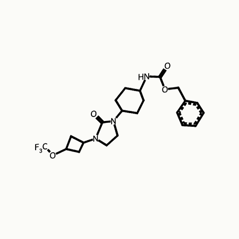 O=C(NC1CCC(N2CCN(C3CC(OC(F)(F)F)C3)C2=O)CC1)OCc1ccccc1